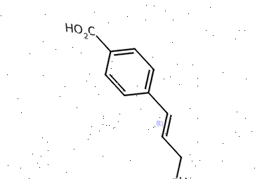 CCCCCCCC/C=C/c1ccc(C(=O)O)cc1